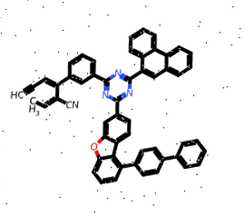 C#C/C=C(\C(C#N)=C/C)c1cccc(-c2nc(-c3ccc4c(c3)oc3cccc(-c5ccc(-c6ccccc6)cc5)c34)nc(-c3cc4ccccc4c4ccccc34)n2)c1